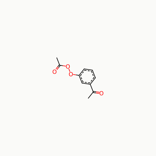 CC(=O)OOc1cccc(C(C)=O)c1